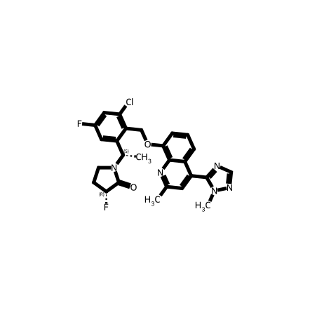 Cc1cc(-c2ncnn2C)c2cccc(OCc3c(Cl)cc(F)cc3[C@H](C)N3CC[C@@H](F)C3=O)c2n1